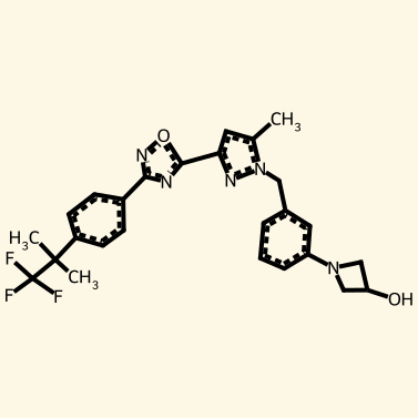 Cc1cc(-c2nc(-c3ccc(C(C)(C)C(F)(F)F)cc3)no2)nn1Cc1cccc(N2CC(O)C2)c1